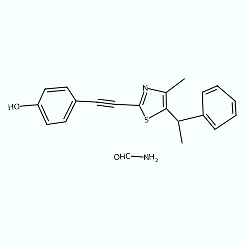 Cc1nc(C#Cc2ccc(O)cc2)sc1C(C)c1ccccc1.NC=O